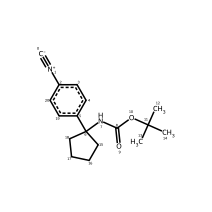 [C-]#[N+]c1ccc(C2(NC(=O)OC(C)(C)C)CCCC2)cc1